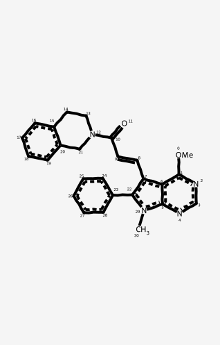 COc1ncnc2c1c(/C=C/C(=O)N1CCc3ccccc3C1)c(-c1ccccc1)n2C